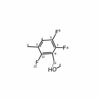 CO.Cc1cc(F)c(F)c(C)c1F